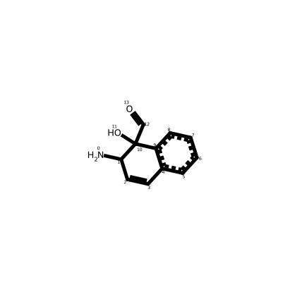 NC1C=Cc2ccccc2C1(O)C=O